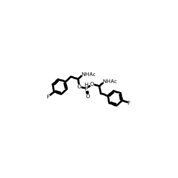 CC(=O)NC(Cc1ccc(F)cc1)O[PH](=O)OC(Cc1ccc(F)cc1)NC(C)=O